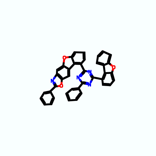 c1ccc(-c2nc(-c3cccc4oc5ccccc5c34)nc(-c3cccc4oc5cc6nc(-c7ccccc7)oc6cc5c34)n2)cc1